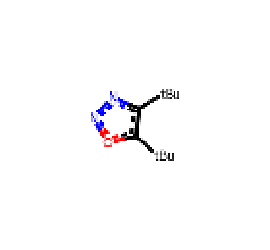 CC(C)(C)c1nnoc1C(C)(C)C